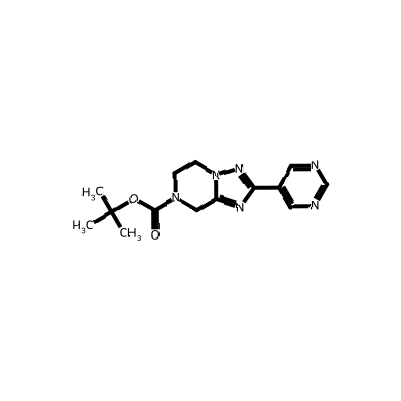 CC(C)(C)OC(=O)N1CCn2nc(-c3cncnc3)nc2C1